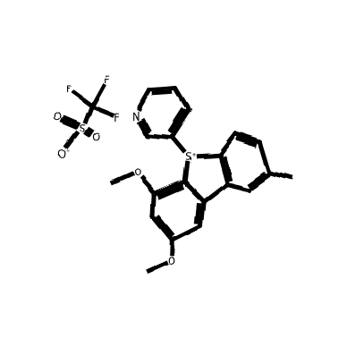 COc1cc(OC)c2c(c1)c1cc(C)ccc1[s+]2-c1cccnc1.O=S(=O)([O-])C(F)(F)F